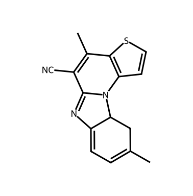 CC1=CC=C2N=C3C(C#N)=C(C)c4sccc4N3C2C1